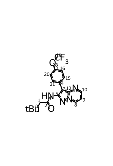 CC(C)(C)CC(=O)Nc1nn2cccnc2c1-c1ccc(OC(F)(F)F)cc1